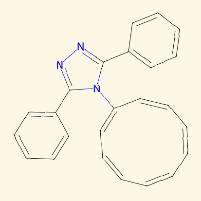 c1ccccc(-n2c(-c3ccccc3)nnc2-c2ccccc2)cccc1